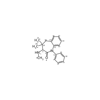 CNC1C(=O)N(c2ccccc2)c2ccccc2CC1(C)C